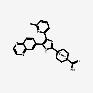 Cc1cccc(-c2nc(C34CCC(C(N)=O)(CC3)CC4)[nH]c2-c2ccc3nccnc3c2)n1